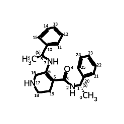 C[C@H](NC(=O)C1=C(N[C@@H](C)c2ccccc2)CNCC1)c1ccccc1